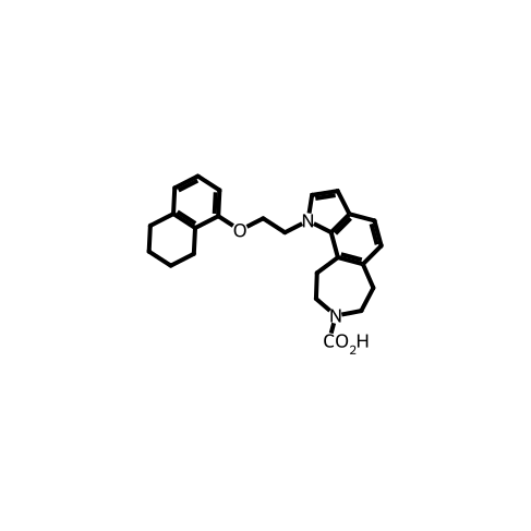 O=C(O)N1CCc2ccc3ccn(CCOc4cccc5c4CCCC5)c3c2CC1